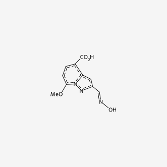 COc1ccc(C(=O)O)c2cc(C=NO)nn12